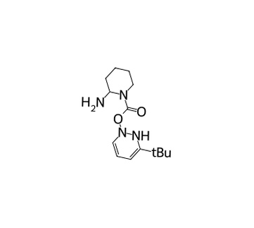 CC(C)(C)C1=CC=CN(OC(=O)N2CCCCC2N)N1